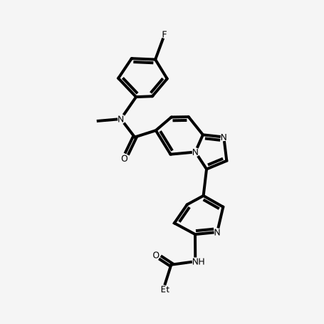 CCC(=O)Nc1ccc(-c2cnc3ccc(C(=O)N(C)c4ccc(F)cc4)cn23)cn1